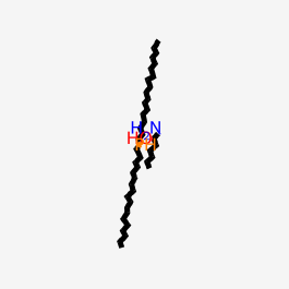 CCCCCC(O)CN.CCCCCCCCCCCCCCCCCCPCCCCCCCCCCCCCCCCCC